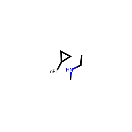 CCCC1CC1.CCNC